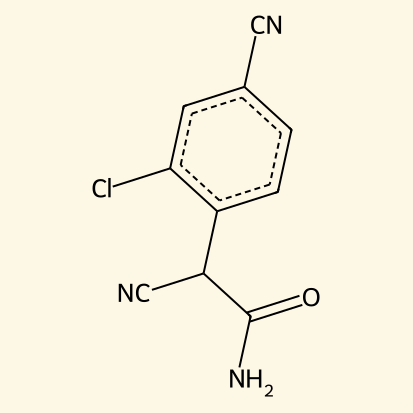 N#Cc1ccc(C(C#N)C(N)=O)c(Cl)c1